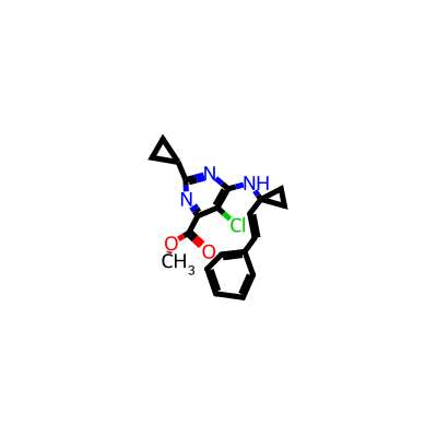 COC(=O)c1nc(C2CC2)nc(NC2(C=Cc3ccccc3)CC2)c1Cl